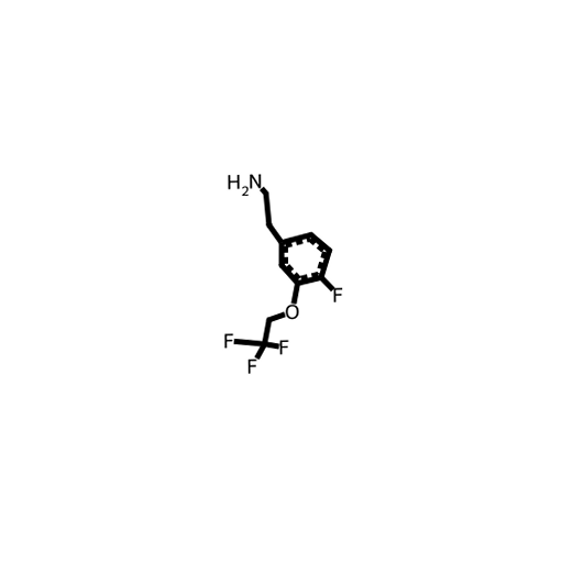 NCCc1ccc(F)c(OCC(F)(F)F)c1